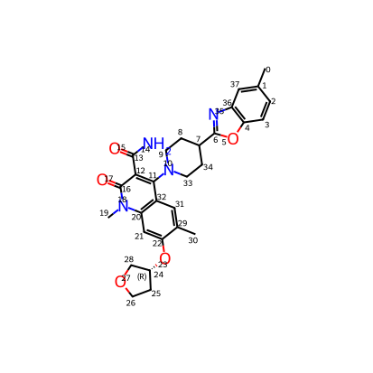 Cc1ccc2oc(C3CCN(c4c(C(N)=O)c(=O)n(C)c5cc(O[C@@H]6CCOC6)c(C)cc45)CC3)nc2c1